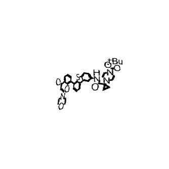 CC(C)(C)OC(=O)N1CCN(C2(C(=O)Nc3ccc4sc5c(-c6cccc7c(=O)cc(N8CCOCC8)oc67)cccc5c4c3)CC2)CC1